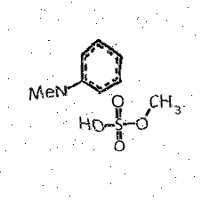 CNc1ccccc1.COS(=O)(=O)O